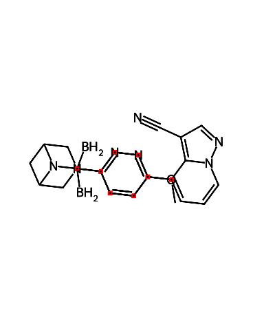 BC(B)(c1ccc(OC)nc1)N1C2CC1CN(c1ccc(-c3cccn4ncc(C#N)c34)cn1)C2